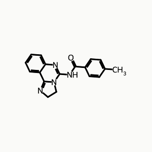 Cc1ccc(C(=O)NC2=Nc3ccccc3C3=NCCN23)cc1